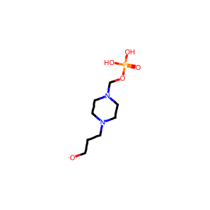 [O]CCCN1CCN(COP(=O)(O)O)CC1